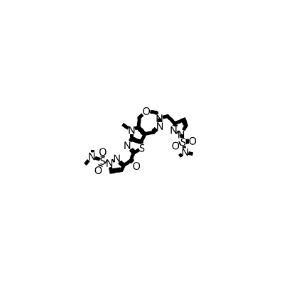 CN(C)S(=O)(=O)n1ccc(CN2COCc3c(c4sc(C(=O)c5ccn(S(=O)(=O)N(C)C)n5)nc4n3C)/C=N\2)n1